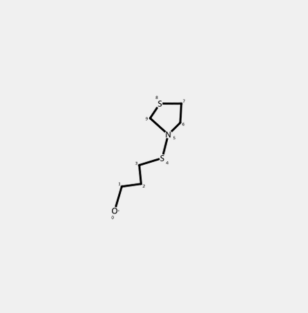 [O]CCCSN1CCSC1